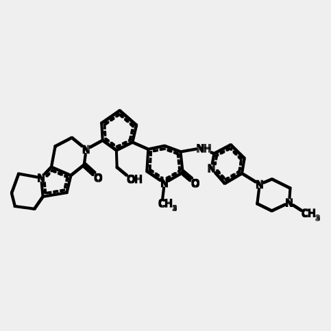 CN1CCN(c2ccc(Nc3cc(-c4cccc(N5CCc6c(cc7n6CCCC7)C5=O)c4CO)cn(C)c3=O)nc2)CC1